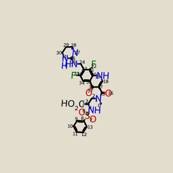 CN(CC(NS(=O)(=O)c1ccccc1)C(=O)O)C(=O)c1c[nH]c2c(F)c(CNC3N=CCCN3)c(F)cc2c1=O